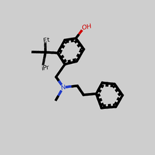 CCC(C)(c1cc(O)ccc1CN(C)CCc1ccccc1)C(C)C